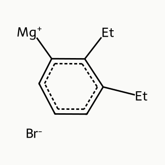 CCc1ccc[c]([Mg+])c1CC.[Br-]